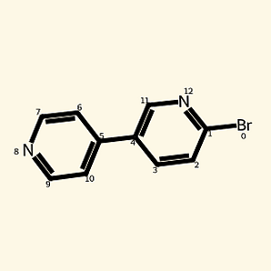 Brc1ccc(-c2ccncc2)cn1